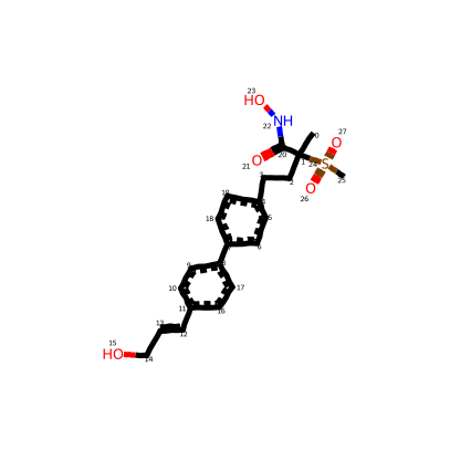 CC(CCc1ccc(-c2ccc(/C=C/CO)cc2)cc1)(C(=O)NO)S(C)(=O)=O